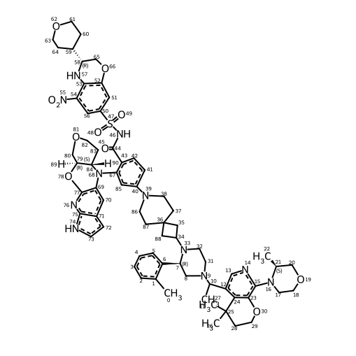 Cc1ccccc1[C@@H]1CN(C(C)c2cnc(N3CCOC[C@@H]3C)c3c2C(C)(C)CCO3)CCN1C1CC2(CCN(c3ccc(C(=O)NS(=O)(=O)c4cc5c(c([N+](=O)[O-])c4)N[C@H](C4CCOCC4)CO5)c(N4c5cc6cc[nH]c6nc5O[C@H]5COCC[C@@H]54)c3)CC2)C1